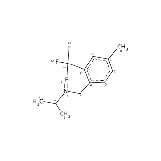 Cc1ccc(CNC(C)C)c(C(F)(F)F)c1